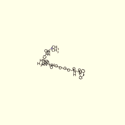 C/C=C(\C)CNC(=O)OCc1ccc(NC(=O)[C@H](C)NC(=O)CNC(=O)CCOCCOCCOCCOCCC(=O)NCCC(=O)N2Cc3ccccc3C#Cc3ccccc32)cc1